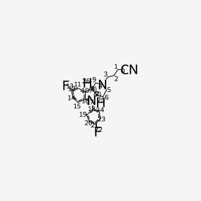 N#CCCCN1CC[C@@H]2[C@@H](C1)c1cc(F)ccc1N2c1ccc(F)cc1